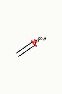 CC#CC#CC#CC#CC#CC#CC#CC#CC(=O)OCC(COC(=O)C#CC#CC#CC#CC#CC#CC#CC#CC)OC(=O)CC(C)CC(=O)O